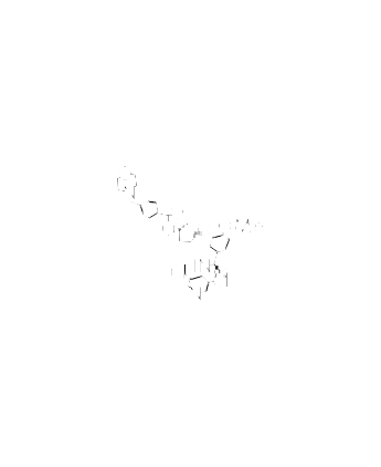 COc1ccc(C(=O)Nc2c(Cl)cncc2Cl)cc1O[C@@H]1CC[C@H](OC(=O)c2ccc(CN3CCOCC3)cc2)C1